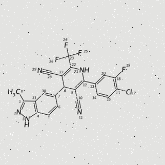 Cc1n[nH]c2ccc(C3C(C#N)=C(c4ccc(Cl)c(F)c4)NC(C(F)(F)F)=C3C#N)cc12